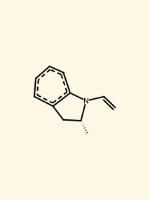 C=CN1c2ccccc2C[C@H]1C